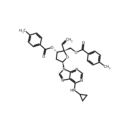 C=C[C@]1(COC(=O)c2ccc(C)cc2)O[C@@H](n2cnc3c(NC4CC4)ncnc32)C[C@@H]1OC(=O)c1ccc(C)cc1